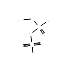 CCC(C)SP(N)(=O)NS(=O)(=O)C(F)(F)F